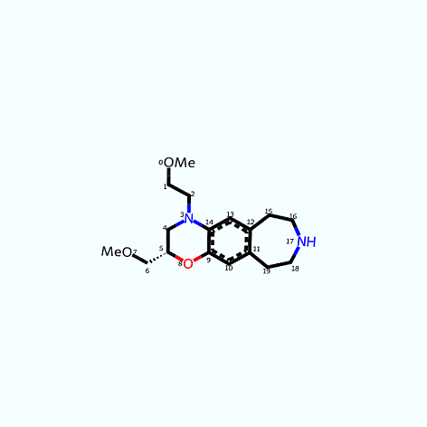 COCCN1C[C@@H](COC)Oc2cc3c(cc21)CCNCC3